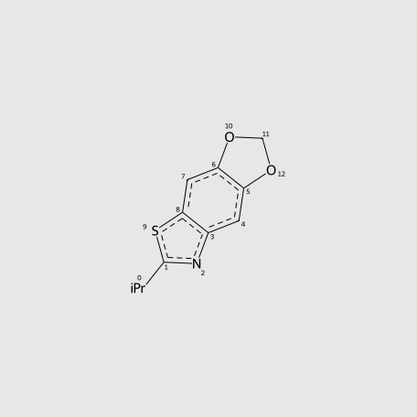 CC(C)c1nc2cc3c(cc2s1)OCO3